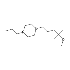 CCCN1CCN(CCCC(C)(C)OC)CC1